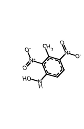 Cc1c([N+](=O)[O-])ccc(NO)c1[N+](=O)[O-]